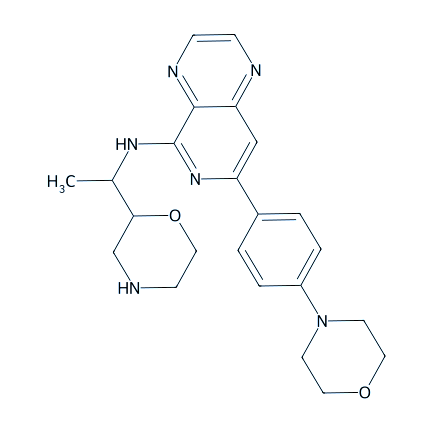 CC(Nc1nc(-c2ccc(N3CCOCC3)cc2)cc2nccnc12)C1CNCCO1